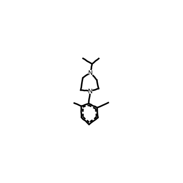 Cc1cccc(C)c1N1CCN(C(C)C)CC1